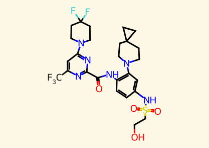 O=C(Nc1ccc(NS(=O)(=O)CCO)cc1N1CCC2(CC1)CC2)c1nc(N2CCC(F)(F)CC2)cc(C(F)(F)F)n1